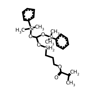 C=C(C)C(=O)OCCC[SiH2]OC(O[Si](C)(C)c1ccccc1)O[Si](C)(C)c1ccccc1